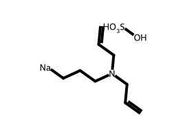 C=CCN(CC=C)CC[CH2][Na].O=S(=O)(O)O